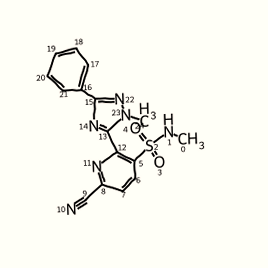 CNS(=O)(=O)c1ccc(C#N)nc1-c1nc(-c2ccccc2)nn1C